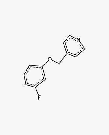 Fc1[c]ccc(OCc2ccncc2)c1